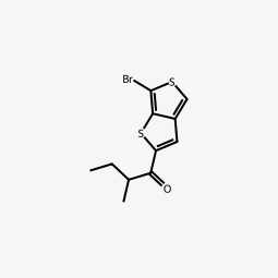 CCC(C)C(=O)c1cc2csc(Br)c2s1